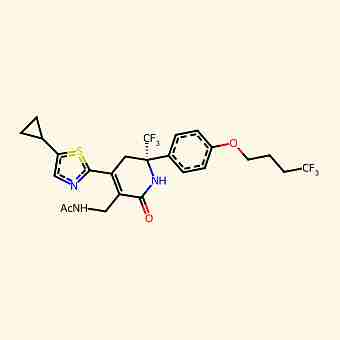 CC(=O)NCC1=C(c2ncc(C3CC3)s2)C[C@](c2ccc(OCCCC(F)(F)F)cc2)(C(F)(F)F)NC1=O